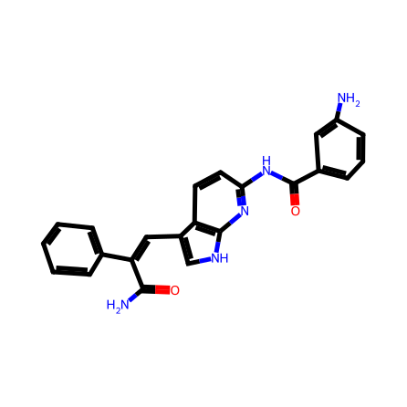 NC(=O)C(=Cc1c[nH]c2nc(NC(=O)c3cccc(N)c3)ccc12)c1ccccc1